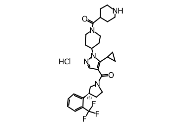 Cl.O=C(c1cnn(C2CCN(C(=O)C3CCNCC3)CC2)c1C1CC1)N1CC[C@@H](c2ccccc2C(F)(F)F)C1